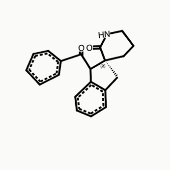 O=C(c1ccccc1)C1c2ccccc2C[C@]12CCCNC2=O